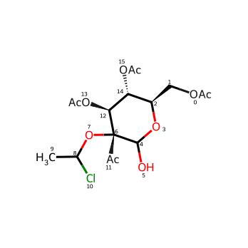 CC(=O)OC[C@H]1OC(O)[C@@](OC(C)Cl)(C(C)=O)[C@@H](OC(C)=O)[C@@H]1OC(C)=O